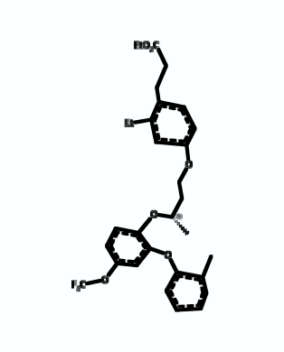 CCOC(=O)CCc1ccc(OCC[C@H](C)Oc2ccc(OC(F)(F)F)cc2Oc2ccccc2C)cc1CC